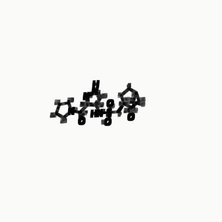 CC1(C)C2CC[C@@]1(CS(=O)(=O)Nc1c[nH]nc1C(=O)N1CCCC1)C(=O)C2